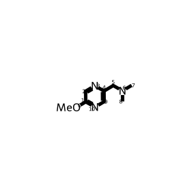 COc1cnc(CN(C)C)cn1